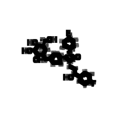 O=C1[C@H](CC[C@H](O)c2ccc(F)cc2)[C@@H](c2ccc(CC3C[C@H](CO)[C@@H](O)[C@H](O)[C@H]3O)cc2)N1c1ccc(F)cc1